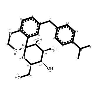 CC(C)c1ccc(Cc2ccc3c(c2)[C@]2(OCO3)O[C@H](CO)[C@@H](O)[C@H](O)[C@H]2O)cc1